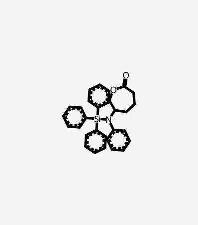 O=C1CCCC(N(c2ccccc2)[Si](c2ccccc2)(c2ccccc2)c2ccccc2)CO1